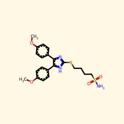 COc1ccc(-c2nc(SCCCCS(N)(=O)=O)[nH]c2-c2ccc(OC)cc2)cc1